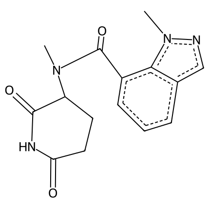 CN(C(=O)c1cccc2cnn(C)c12)C1CCC(=O)NC1=O